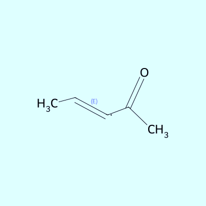 C/C=[C]/C(C)=O